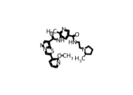 COc1ncccc1-c1cn2ncc(C(=O)Nc3cc(C(=O)NCCN4CCC[C@H]4C)cnc3C)c2s1